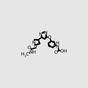 CNC(=O)Cn1cc(-c2cc(Oc3cccc(NC(=O)O)c3)ncn2)cn1